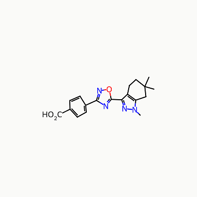 Cn1nc(-c2nc(-c3ccc(C(=O)O)cc3)no2)c2c1CC(C)(C)CC2